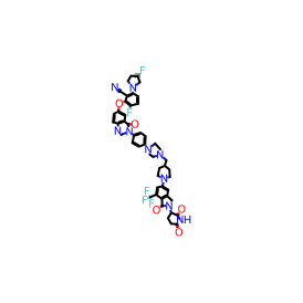 N#Cc1c(N2CC[C@@H](F)C2)ccc(F)c1Oc1ccc2ncn(-c3ccc(N4CCN(CC5CCN(c6cc7c(c(C(F)(F)F)c6)C(=O)N(C6CCC(=O)NC6=O)C7)CC5)CC4)cc3)c(=O)c2c1